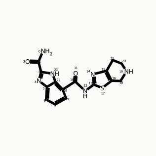 NC(=O)c1nc2cccc(C(=O)Nc3nc4c(s3)CNCC4)c2[nH]1